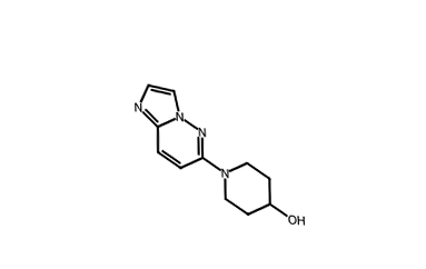 OC1CCN(c2ccc3nccn3n2)CC1